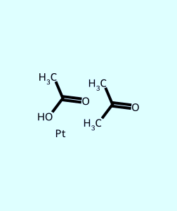 CC(=O)O.CC(C)=O.[Pt]